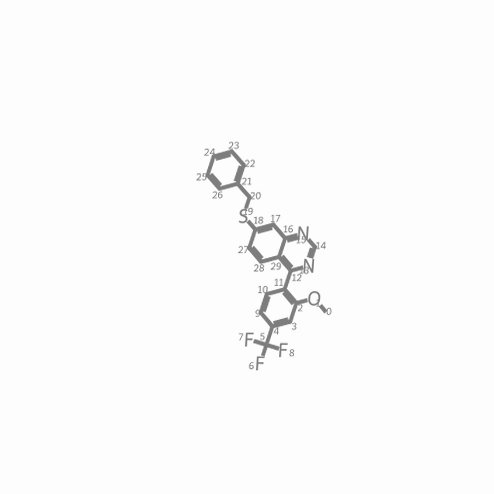 COc1cc(C(F)(F)F)ccc1-c1ncnc2cc(SCc3ccccc3)ccc12